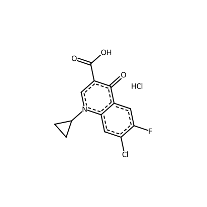 Cl.O=C(O)c1cn(C2CC2)c2cc(Cl)c(F)cc2c1=O